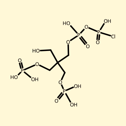 O=P(O)(O)OCC(CO)(COP(=O)(O)O)COP(=O)(O)OP(=O)(O)Cl